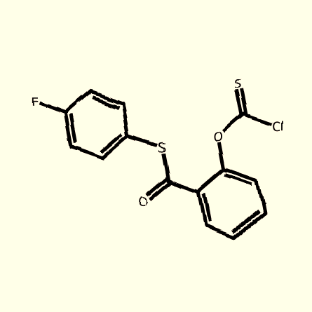 O=C(Sc1ccc(F)cc1)c1ccccc1OC(=S)Cl